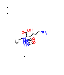 CCNC(CCCCN)C(=O)O.N=C=O.N=C=O.N=C=O